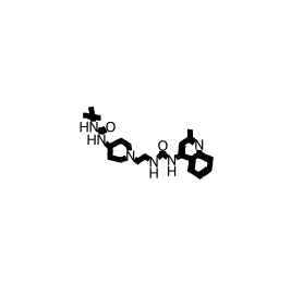 Cc1cc(NC(=O)NCCN2CCC(NC(=O)NC(C)(C)C)CC2)c2ccccc2n1